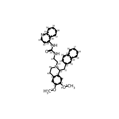 COc1cc2c(cc1OC)C(Cc1ccc3ccccc3c1)N(CCNC(=O)Nc1ccnc3ccccc13)CC2